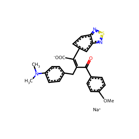 COc1ccc(C(=O)C(Cc2ccc(N(C)C)cc2)=C(C(=O)[O-])c2ccc3nsnc3c2)cc1.[Na+]